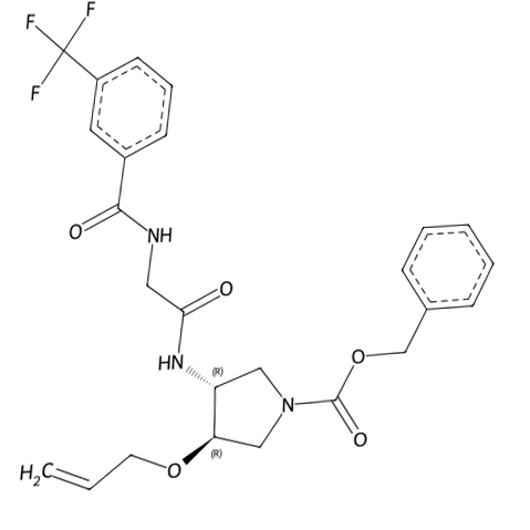 C=CCO[C@@H]1CN(C(=O)OCc2ccccc2)C[C@H]1NC(=O)CNC(=O)c1cccc(C(F)(F)F)c1